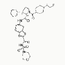 O=C(NS(=O)(=O)N1CCOCC1)c1cc2cc(NC(=O)[C@@H]3[C@H](C4CCCCC4)CCN3C(=O)C3CCC([CH]CF)CC3)ccc2o1